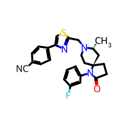 C[C@@H]1C[C@]2(CCC(=O)N2c2cccc(F)c2)CCN1Cc1nc(-c2ccc(C#N)cc2)cs1